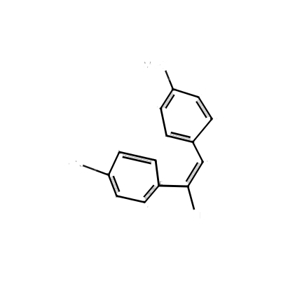 COc1ccc(C=C(C)c2ccc([N+](=O)[O-])cc2)cc1